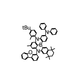 Cc1cc2c3c(c1)N(c1cccc4c1oc1ccccc14)c1cc4c(cc1B3c1ccc(N(c3ccccc3)c3ccccc3)cc1N2c1ccc(C(C)(C)C)cc1C)C(C)(C)CCC4(C)C